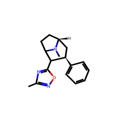 Cc1noc(C2C3CC[C@H](C[C@H]2c2ccccc2)N3C)n1